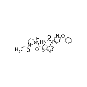 C=CC(=O)N1CCC[C@@H](NC(=O)C2Sc3nccc4c3C2NC(=O)N4c2ccc(Oc3ccccc3)nc2)C1